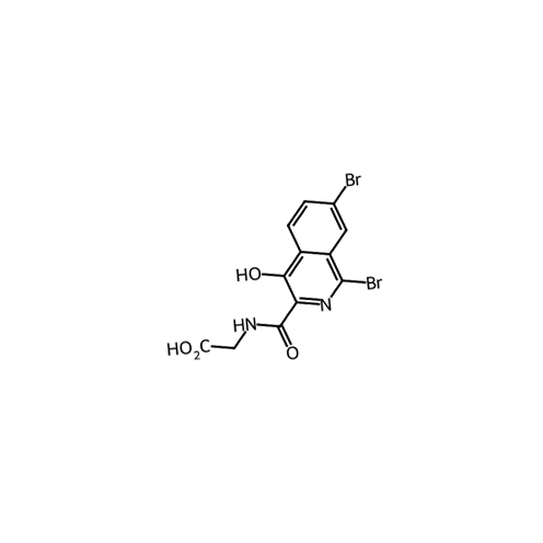 O=C(O)CNC(=O)c1nc(Br)c2cc(Br)ccc2c1O